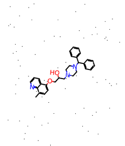 Cc1ccc(OCC(O)CN2CCN(C(c3ccccc3)c3ccccc3)CC2)c2cccnc12